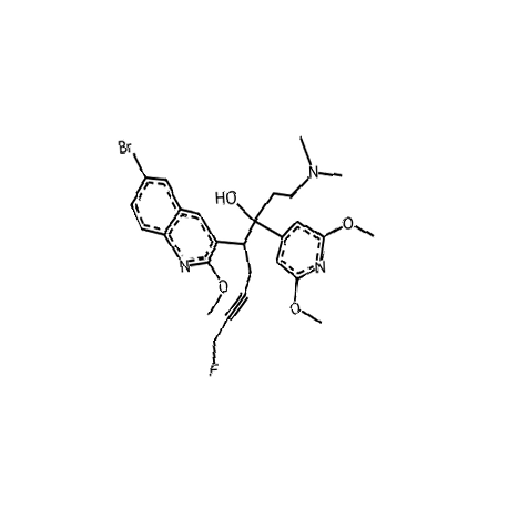 COc1cc(C(O)(CCN(C)C)C(CC#CCF)c2cc3cc(Br)ccc3nc2OC)cc(OC)n1